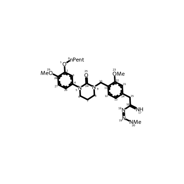 CCCCCOc1cc(N2CCCN(Cc3ccc(CC(=N)/N=N\NC)cc3OC)C2=O)ccc1OC